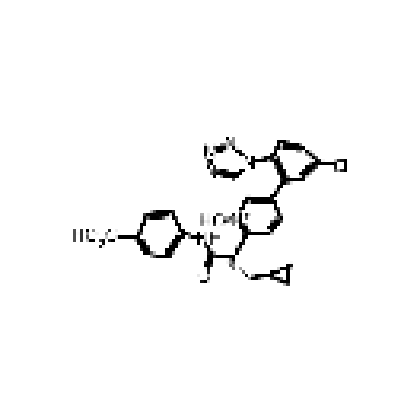 O=C(O)c1ccc(NC(=O)[C@@H](CC2CC2)c2ccc(-c3cc(Cl)ccc3-n3cnnn3)c[n+]2O)cc1